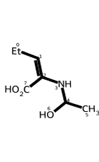 CC/C=C(/NC(C)O)C(=O)O